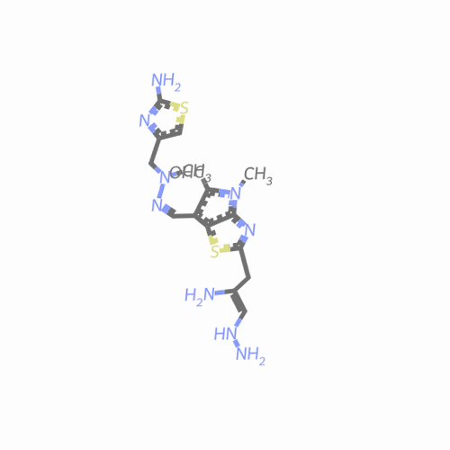 CN(Cc1csc(N)n1)/N=C\c1c(C=O)n(C)c2nc(C/C(N)=C/NN)sc12